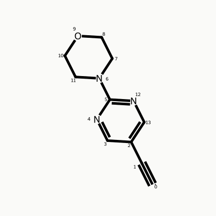 [C]#Cc1cnc(N2CCOCC2)nc1